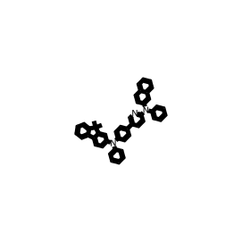 CC1(C)c2ccccc2-c2ccc(N(c3ccccc3)c3ccc(-c4ccc(N(c5ccccc5)c5ccc6ccccc6c5)nc4)cc3)cc21